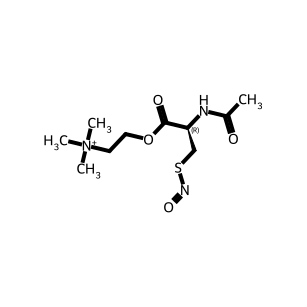 CC(=O)N[C@@H](CSN=O)C(=O)OCC[N+](C)(C)C